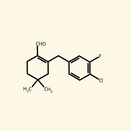 CC1(C)CCC(C=O)=C(Cc2ccc(Cl)c(F)c2)C1